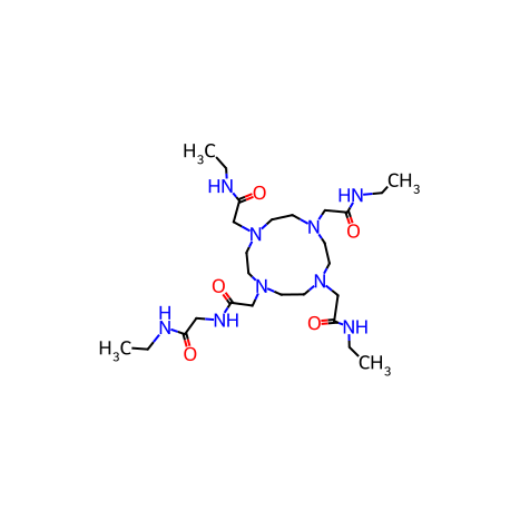 CCNC(=O)CNC(=O)CN1CCN(CC(=O)NCC)CCN(CC(=O)NCC)CCN(CC(=O)NCC)CC1